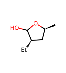 CC[C@@H]1C[C@H](C)OC1O